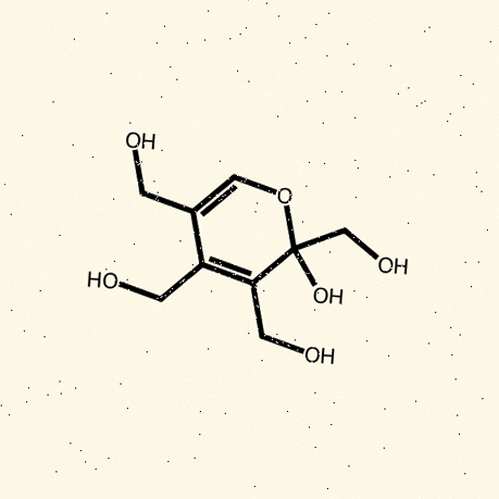 OCC1=COC(O)(CO)C(CO)=C1CO